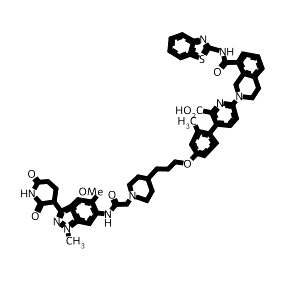 COc1cc2c(C3CCC(=O)NC3=O)nn(C)c2cc1NC(=O)CN1CCC(CCCOc2ccc(-c3ccc(N4CCc5cccc(C(=O)Nc6nc7ccccc7s6)c5C4)nc3C(=O)O)c(C)c2)CC1